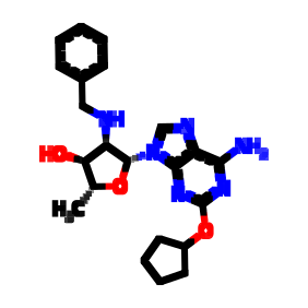 C[C@H]1O[C@@H](n2cnc3c(N)nc(OC4CCCC4)nc32)[C@H](NCc2ccccc2)[C@@H]1O